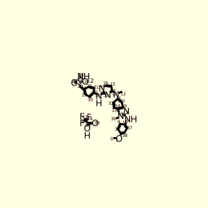 COc1ccc(Nc2nc3cc(N(C)c4ccnc(Nc5ccc(CS(N)(=O)=O)cc5)n4)ccc3n2C)cc1.O=C(O)C(F)(F)F